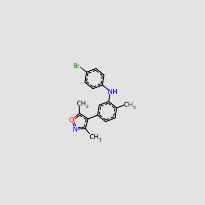 Cc1ccc(-c2c(C)noc2C)cc1Nc1ccc(Br)cc1